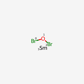 BrOBr.[Sm]